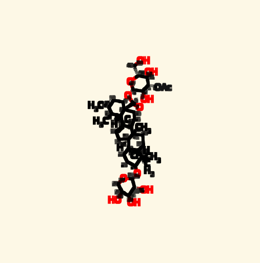 CC(=O)O[C@@H]1[C@@H](O)[C@H](OC(=O)[C@]23CC[C@@H](C)[C@H](C)[C@H]2C2=CC[C@@H]4[C@@]5(C)CC[C@H](O[C@H]6OC[C@H](O)[C@H](O)[C@H]6O)C(C)(C)[C@@H]5CC[C@@]4(C)[C@]2(C)CC3)O[C@H](CO)[C@H]1O